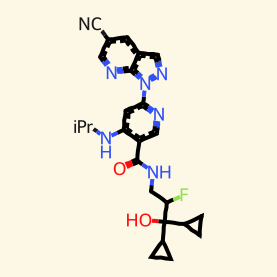 CC(C)Nc1cc(-n2ncc3cc(C#N)cnc32)ncc1C(=O)NCC(F)C(O)(C1CC1)C1CC1